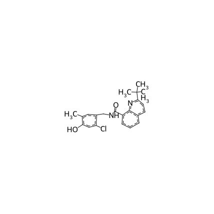 Cc1cc(CNC(=O)c2cccc3ccc(C(C)(C)C)nc23)c(Cl)cc1O